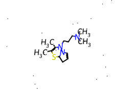 CC1=C(C)N(CCCN(C)C)N2C=CCC2S1